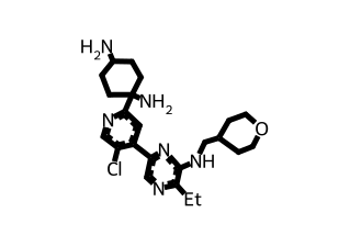 CCc1ncc(-c2cc(C3(N)CCC(N)CC3)ncc2Cl)nc1NCC1CCOCC1